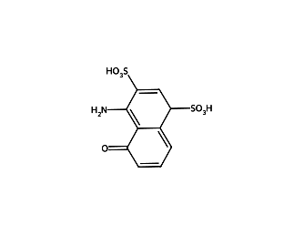 NC1=C2C(=O)C=CC=C2C(S(=O)(=O)O)C=C1S(=O)(=O)O